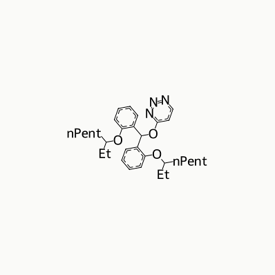 CCCCCC(CC)Oc1ccccc1C(Oc1ccnnn1)c1ccccc1OC(CC)CCCCC